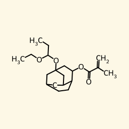 C=C(C)C(=O)OC1CC2(OC(CC)OCC)CC3CCC1C(C3)C2